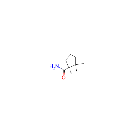 CC1(C)CCC[C@]1(C)C(N)=O